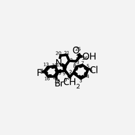 C=C(c1ccc(Cl)cc1)c1c2n(c3cc(F)cc(Br)c13)CCC2CC(=O)O